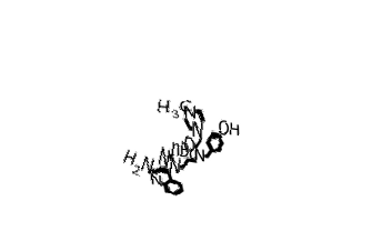 CCCCc1nc2c(N)nc3ccccc3c2n1CCCN(Cc1ccc(O)cc1)C(=O)CN1CCN(C)CC1